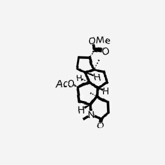 COC(=O)[C@H]1CC[C@H]2[C@@H]3[C@@H](OC(C)=O)C[C@H]4N(C)C(=O)CC[C@]4(C)[C@H]3CC[C@]12C